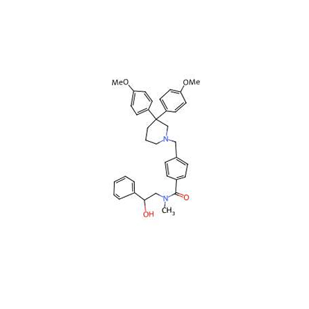 COc1ccc(C2(c3ccc(OC)cc3)CCCN(Cc3ccc(C(=O)N(C)CC(O)c4ccccc4)cc3)C2)cc1